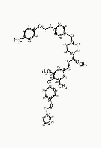 Cc1ccc(OCCc2ccc(CN3CCN(C(=O)C=Cc4cc(C)c(Oc5ccc(OCc6cscn6)cn5)c(C)c4)CC3)cc2)cc1.Cl